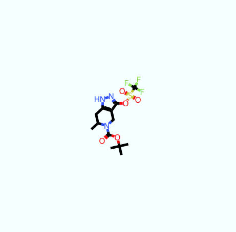 CC1Cc2[nH]nc(OS(=O)(=O)C(F)(F)F)c2CN1C(=O)OC(C)(C)C